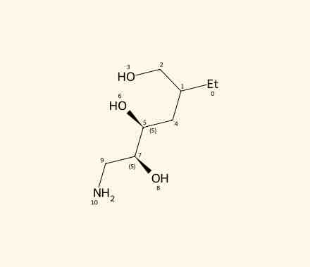 CCC(CO)C[C@H](O)[C@@H](O)CN